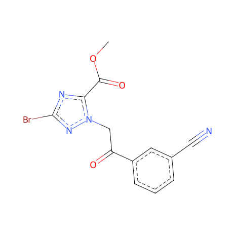 COC(=O)c1nc(Br)nn1CC(=O)c1cccc(C#N)c1